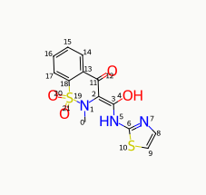 CN1C(=C(O)Nc2nccs2)C(=O)c2ccccc2S1(=O)=O